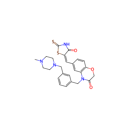 CN1CCN(Cc2cccc(CN3C(=O)COc4ccc(C=C5SC(=S)NC5=O)cc43)c2)CC1